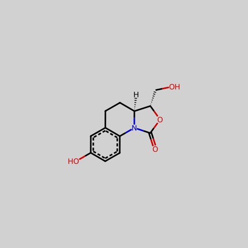 O=C1O[C@@H](CO)[C@@H]2CCc3cc(O)ccc3N12